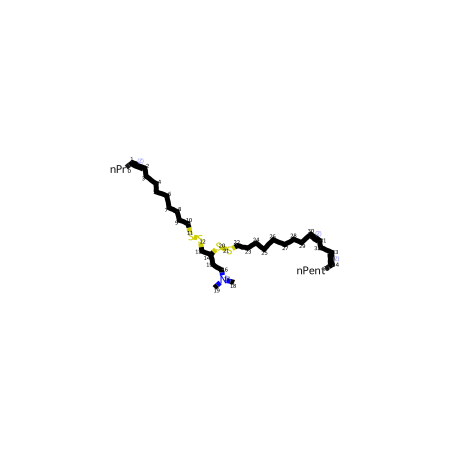 CCC/C=C\CCCCCCCCSSCC(CCN(C)C)SSCCCCCCCC/C=C\C/C=C\CCCCC